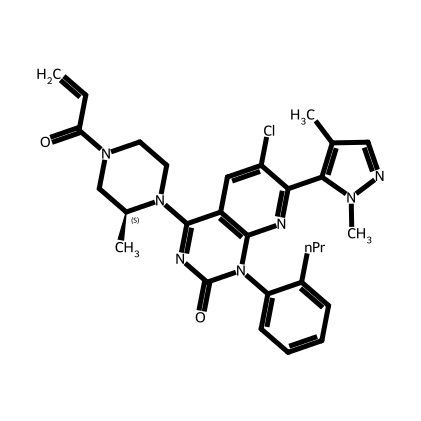 C=CC(=O)N1CCN(c2nc(=O)n(-c3ccccc3CCC)c3nc(-c4c(C)cnn4C)c(Cl)cc23)[C@@H](C)C1